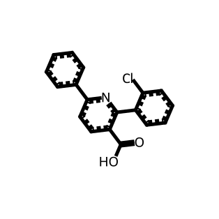 O=C(O)c1ccc(-c2ccccc2)nc1-c1ccccc1Cl